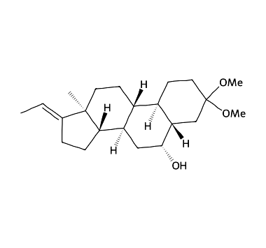 CC=C1CC[C@H]2[C@@H]3C[C@@H](O)[C@H]4CC(OC)(OC)CC[C@@H]4[C@H]3CC[C@]12C